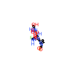 COc1nc2[nH]cc(F)c2cc1Oc1cc(N2CCC3(CC2)CC(N2CCN(Cc4ccc(S(C)(=O)=O)cc4)C[C@H]2c2ccccc2C(C)C)C3)ccc1C(=O)NS(=O)(=O)c1cnc(NCC2CCC(C)(O)CC2)c([N+](=O)[O-])c1